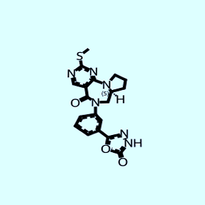 CSc1ncc2c(n1)N1CCC[C@H]1CN(c1cccc(-c3n[nH]c(=O)o3)c1)C2=O